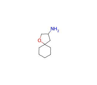 NC1COC2(CCCCC2)C1